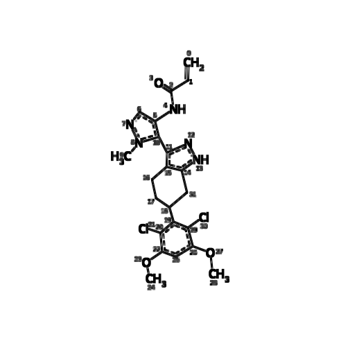 C=CC(=O)Nc1cnn(C)c1-c1n[nH]c2c1CCC(c1c(Cl)c(OC)cc(OC)c1Cl)C2